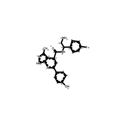 Cc1n[nH]c2nc(-c3ccc(O)cc3)cc(C(=O)NC(CN)c3ccc(F)cc3)c12